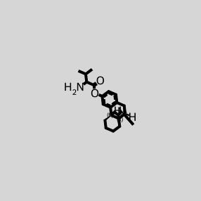 CC(C)C(N)C(=O)Oc1ccc2c(c1)[C@@]13CCCC[C@H]1[C@@H](C2)N(C)CC3